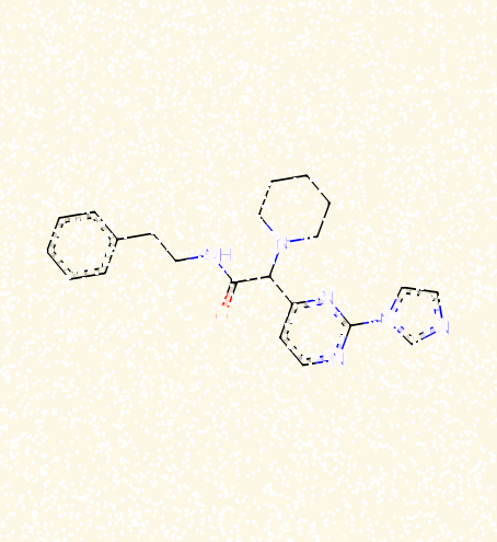 O=C(NCCc1ccccc1)C(c1ccnc(-n2ccnc2)n1)N1CCCCC1